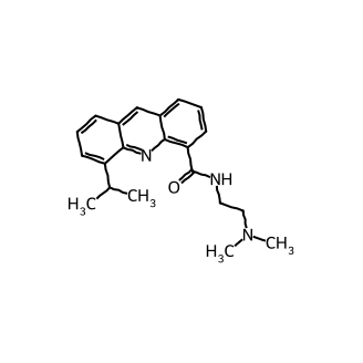 CC(C)c1cccc2cc3cccc(C(=O)NCCN(C)C)c3nc12